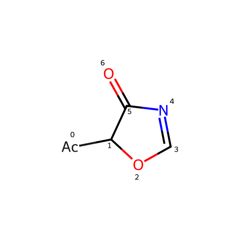 CC(=O)C1OC=NC1=O